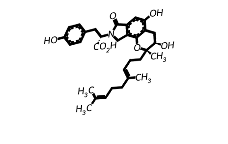 CC(C)=CCC/C(C)=C/CC[C@]1(C)Oc2c(c(O)cc3c2CN([C@@H](Cc2ccc(O)cc2)C(=O)O)C3=O)C[C@H]1O